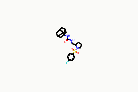 O=C(NCC1CCCN1S(=O)(=O)c1ccc(F)cc1)NC12CC3CC(CC(C3)C1)C2